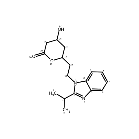 CC(C)c1nc2ccccc2n1CCC1CC(O)CC(=O)O1